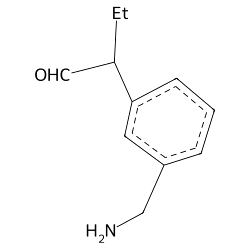 CCC(C=O)c1cccc(CN)c1